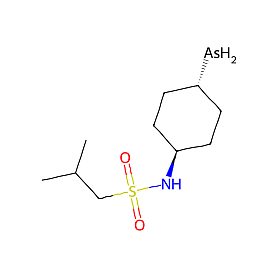 CC(C)CS(=O)(=O)N[C@H]1CC[C@H]([AsH2])CC1